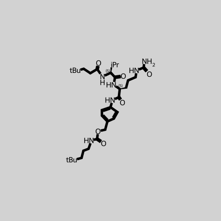 CC(C)[C@H](NC(=O)CCC(C)(C)C)C(=O)N[C@@H](CCCNC(N)=O)C(=O)Nc1ccc(COC(=O)NCCCC(C)(C)C)cc1